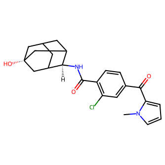 Cn1cccc1C(=O)c1ccc(C(=O)N[C@H]2C3CC4CC2C[C@](O)(C4)C3)c(Cl)c1